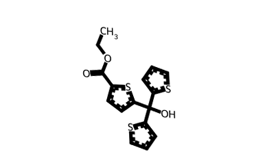 CCOC(=O)c1ccc(C(O)(c2cccs2)c2cccs2)s1